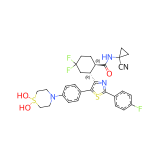 N#CC1(NC(=O)[C@@H]2CCC(F)(F)C[C@H]2c2nc(-c3ccc(F)cc3)sc2-c2ccc(N3CCS(O)(O)CC3)cc2)CC1